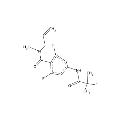 C=CCN(C)C(=O)c1c(F)cc(NC(=O)C(C)(C)F)cc1F